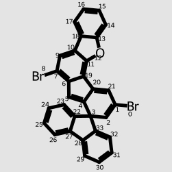 BrC1=CC2(C3=Cc4c(Br)cc5c(oc6ccccc65)c4C3=C1)c1ccccc1-c1ccccc12